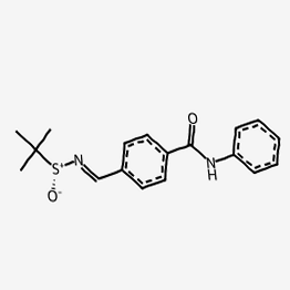 CC(C)(C)[S@@+]([O-])/N=C/c1ccc(C(=O)Nc2ccccc2)cc1